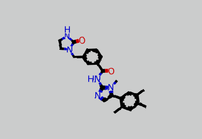 Cc1cc(C)c(-c2cnc(NC(=O)c3cccc(CN4CCNC4=O)c3)n2C)cc1C